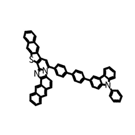 c1ccc(-n2c3ccccc3c3cc(-c4ccc(-c5ccc(-c6cc7c8cc9ccccc9cc8sc7c7nc8c9cc%10ccccc%10cc9ccc8n67)cc5)cc4)ccc32)cc1